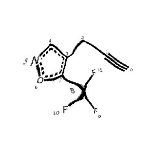 C#CCc1cnoc1C(F)(F)F